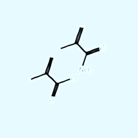 C=C(C)C(=O)Cl.C=C(C)C(N)=O